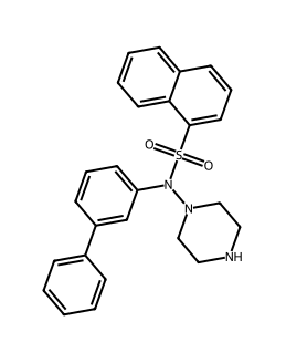 O=S(=O)(c1cccc2ccccc12)N(c1cccc(-c2ccccc2)c1)N1CCNCC1